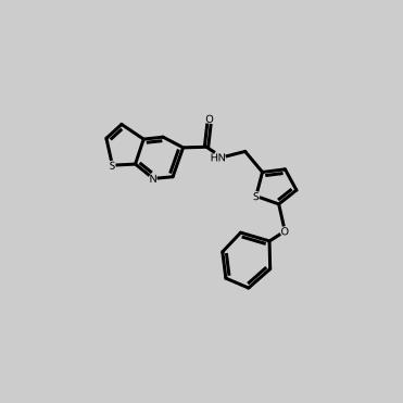 O=C(NCc1ccc(Oc2ccccc2)s1)c1cnc2sccc2c1